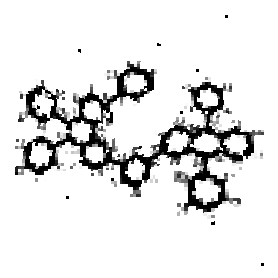 c1ccc(-c2ccc3c(-c4ccccc4)c(-c4ccccc4)c4ccc(-c5cccc(-c6ccc7c(-c8ccccc8)c8ccccc8c(-c8ccccc8)c7c6)c5)nc4c3n2)cc1